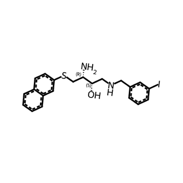 N[C@@H](CSc1ccc2ccccc2c1)[C@@H](O)CNCc1cccc(I)c1